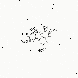 COc1cc([C@@H]2C[C@H](CO)Cc3cc(OC)c(O)c(OC)c32)cc(OC)c1O